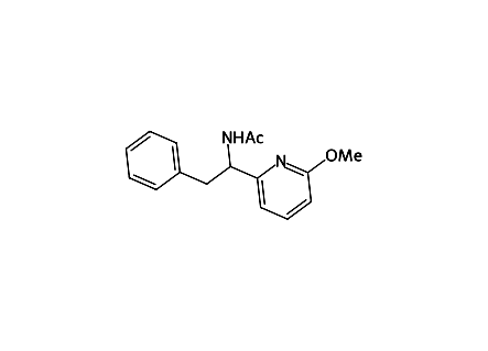 COc1cccc(C(Cc2ccccc2)NC(C)=O)n1